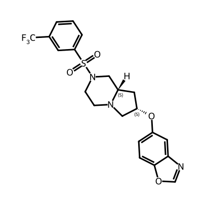 O=S(=O)(c1cccc(C(F)(F)F)c1)N1CCN2C[C@@H](Oc3ccc4ocnc4c3)C[C@H]2C1